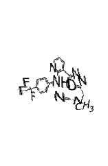 CN(C#N)Cc1nnc(-c2cccnc2Nc2ccc(C(F)(F)F)cc2)o1